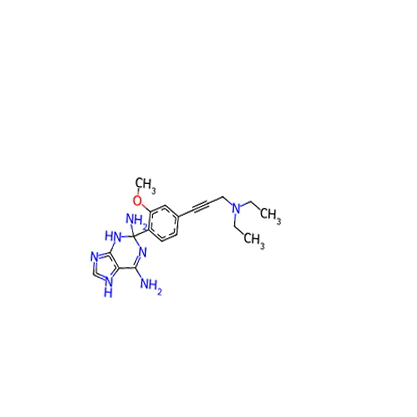 CCN(CC)CC#Cc1ccc(C2(N)N=C(N)c3[nH]cnc3N2)c(OC)c1